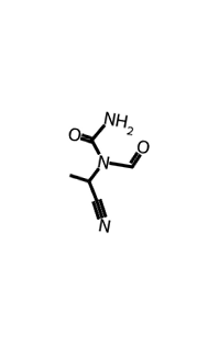 CC(C#N)N(C=O)C(N)=O